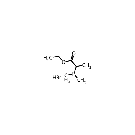 Br.CCOC(=O)C(C)P(C)C